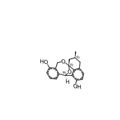 C[C@H]1Cc2ccc(O)c3c2[C@@]2(C1)OCc1c(O)cccc1[C@H]3O2